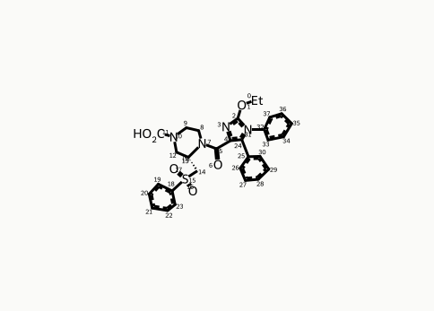 CCOc1nc(C(=O)N2CCN(C(=O)O)C[C@H]2CS(=O)(=O)c2ccccc2)c(-c2ccccc2)n1-c1ccccc1